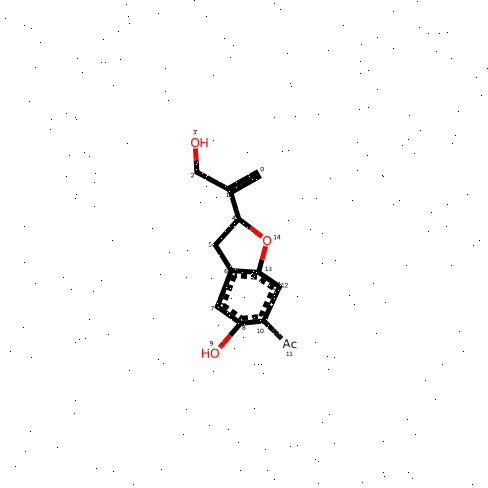 C=C(CO)C1Cc2cc(O)c(C(C)=O)cc2O1